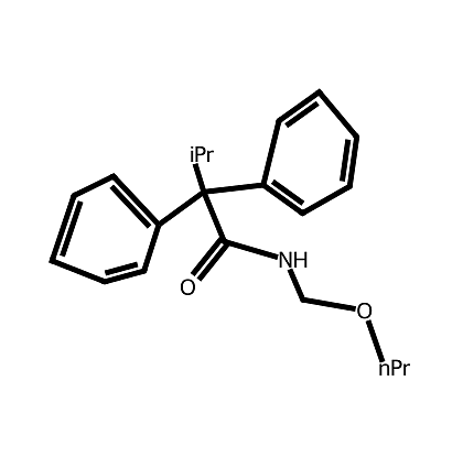 CCCOCNC(=O)C(c1ccccc1)(c1ccccc1)C(C)C